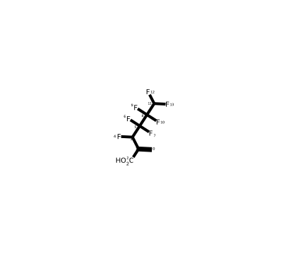 C=C(C(=O)O)C(F)C(F)(F)C(F)(F)C(F)F